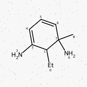 CCC1C(N)=CC=CC1(C)N